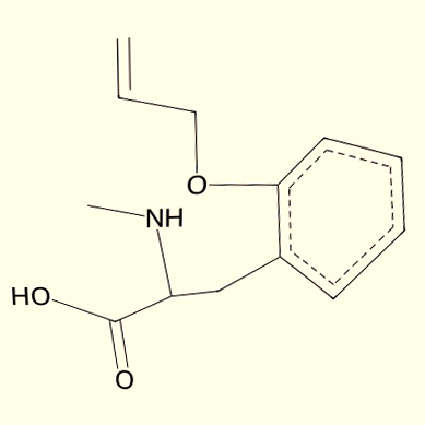 C=CCOc1ccccc1CC(NC)C(=O)O